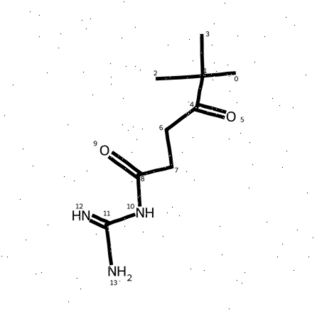 CC(C)(C)C(=O)CCC(=O)NC(=N)N